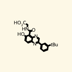 CC(C)(C)c1cccc(-c2cnc3c(C(=O)NCC(=O)O)c(O)ccc3n2)c1